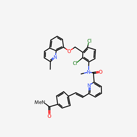 CNC(=O)c1ccc(C=Cc2cccc(C(=O)N(C)c3ccc(Cl)c(COc4cccc5ccc(C)nc45)c3Cl)n2)cc1